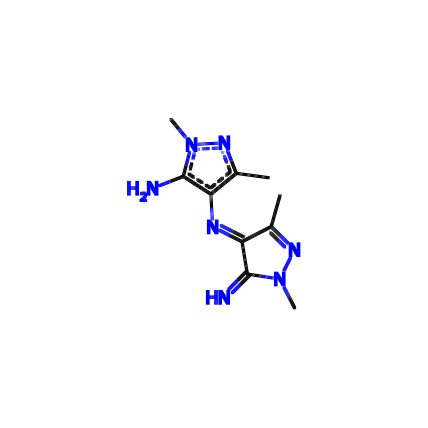 CC1=NN(C)C(=N)C1=Nc1c(C)nn(C)c1N